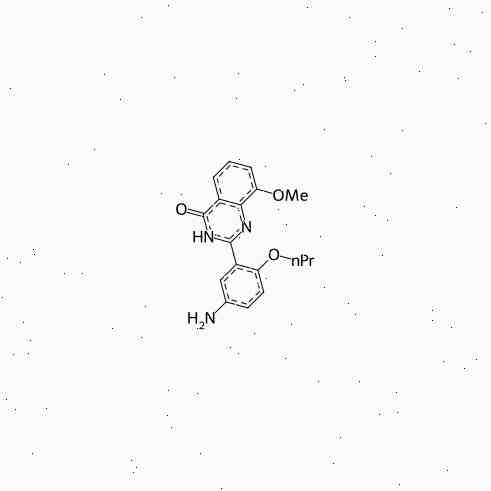 CCCOc1ccc(N)cc1-c1nc2c(OC)cccc2c(=O)[nH]1